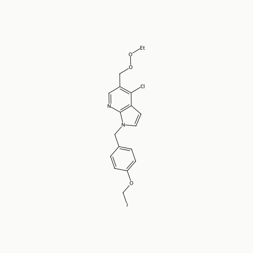 CCOOCc1cnc2c(ccn2Cc2ccc(OCI)cc2)c1Cl